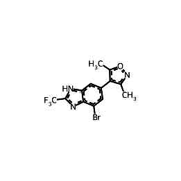 Cc1noc(C)c1-c1cc(Br)c2nc(C(F)(F)F)[nH]c2c1